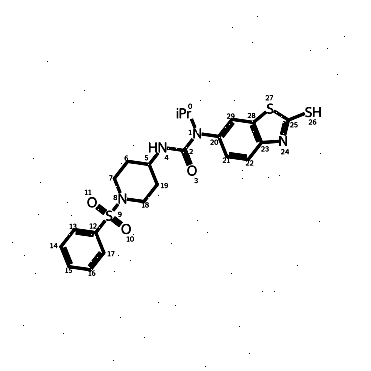 CC(C)N(C(=O)NC1CCN(S(=O)(=O)c2ccccc2)CC1)c1ccc2nc(S)sc2c1